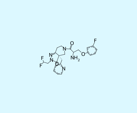 NC(COc1cccc(F)c1)C(=O)N1CCC2=NN(CC(F)F)C(=O)[C@]2(Cc2ccccn2)C1